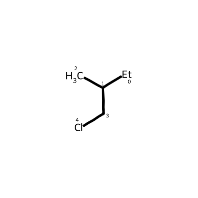 CCC(C)CCl